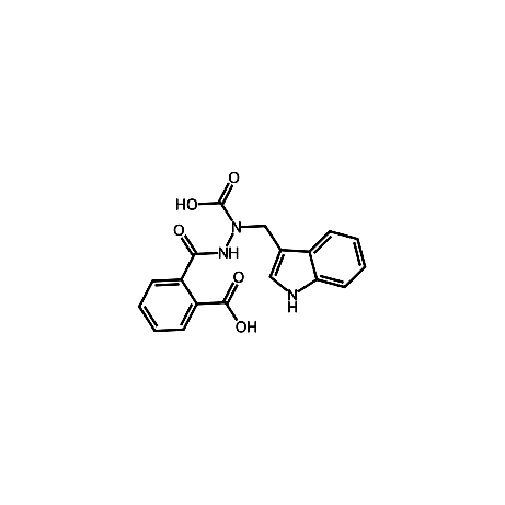 O=C(O)c1ccccc1C(=O)NN(Cc1c[nH]c2ccccc12)C(=O)O